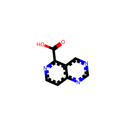 O=C(O)c1nccc2ncncc12